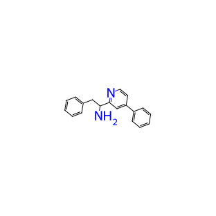 NC(Cc1ccccc1)c1cc(-c2ccccc2)ccn1